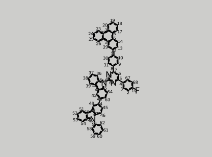 Fc1ccc(-c2cc(-c3ccc(-c4ccc5c6ccccc6c6ccccc6c5c4)cc3)nc(-n3c4ccccc4c4cc(-c5ccc6c(c5)c5ccccc5n6-c5ccccc5)ccc43)n2)cc1